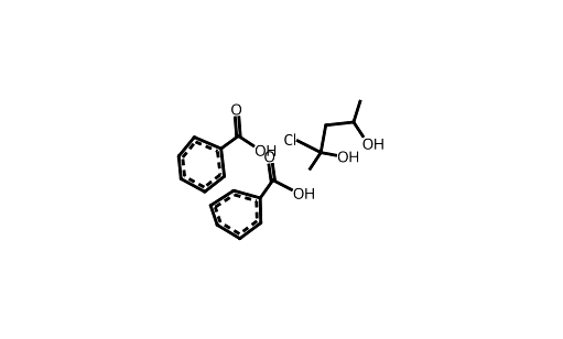 CC(O)CC(C)(O)Cl.O=C(O)c1ccccc1.O=C(O)c1ccccc1